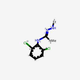 CCN/N=C(\NC)Nc1c(Cl)cccc1Cl